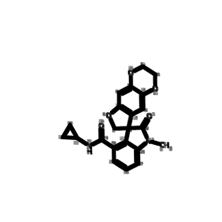 CN1C(=O)C2(COc3cc4c(cc32)OCCO4)c2c(C(=O)NC3CC3)cccc21